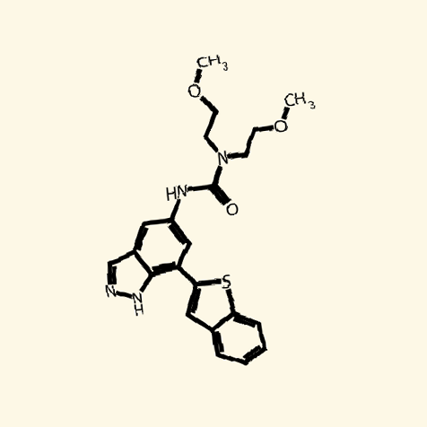 COCCN(CCOC)C(=O)Nc1cc(-c2cc3ccccc3s2)c2[nH]ncc2c1